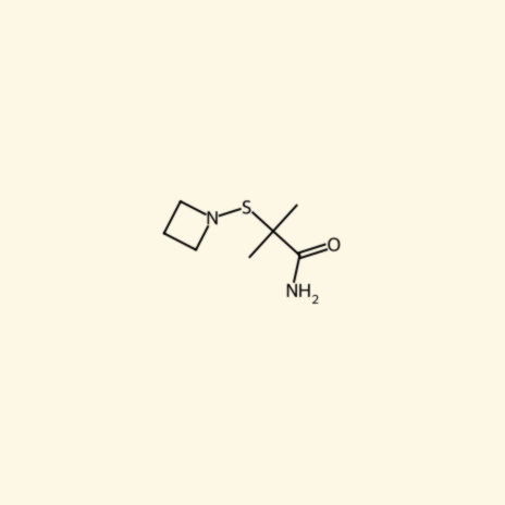 CC(C)(SN1CCC1)C(N)=O